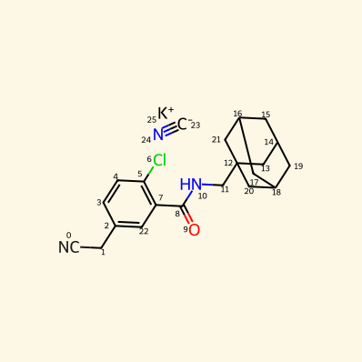 N#CCc1ccc(Cl)c(C(=O)NCC23CC4CC(CC(C4)C2)C3)c1.[C-]#N.[K+]